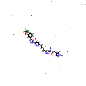 Cc1c(CC(=O)Nc2nnc(CCCCc3ccc(NC(=O)Cc4cccc(OC(F)(F)F)c4)nn3)s2)cnn1C